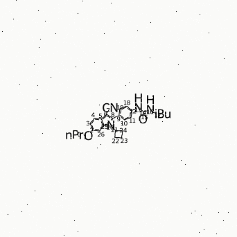 CCCOc1ccc2c(C#N)c(-c3ccc(NC(=O)NC(C)CC)cc3)n(C3CCC3)c2c1